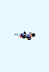 COc1c(-c2cc3c(s2)CCCC3NS(=O)(=O)c2ccccc2C#N)ccc2c(=O)c(C(=O)O)cn(C3CC3)c12